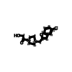 O=C(CO)N1CCN(Cc2cc3cc(Cl)ccc3o2)CC1